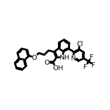 O=C(O)c1[nH]c2c(-c3ncc(C(F)(F)F)cc3Cl)cccc2c1CCCOc1cccc2ccccc12